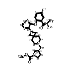 CC(C)N(C(=O)c1cc(F)ccc1Oc1nncnc1N1CC2(CCN(C[C@H]3CCN(C(=O)OC(C)(C)C)C3)CC2)C1)C(C)C